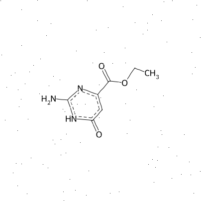 CCOC(=O)c1cc(=O)[nH]c(N)n1